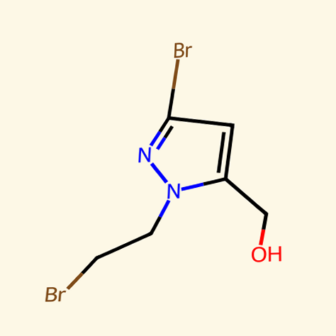 OCc1cc(Br)nn1CCBr